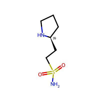 NS(=O)(=O)CC[C@@H]1CCCN1